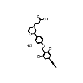 CC#Cc1cc(Cl)c(COc2ccc(C3CN(CCC(=O)O)CCO3)cc2)c(Cl)c1.Cl